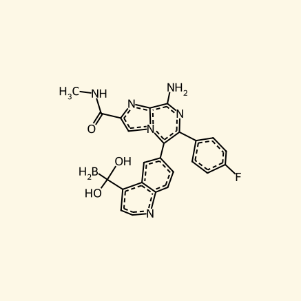 BC(O)(O)c1ccnc2ccc(-c3c(-c4ccc(F)cc4)nc(N)c4nc(C(=O)NC)cn34)cc12